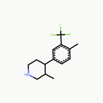 Cc1ccc(C2CCNCC2C)cc1C(F)(F)F